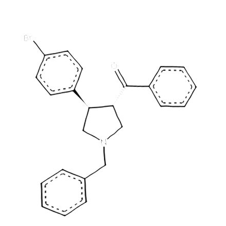 O=C(c1ccccc1)[C@@H]1CN(Cc2ccccc2)C[C@H]1c1ccc(Br)cc1